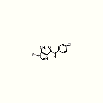 CCn1cnc(C(=O)Nc2ccc(Cl)cc2)c1N